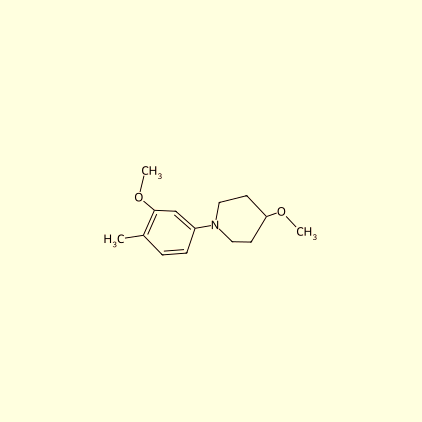 COc1cc(N2CCC(OC)CC2)ccc1C